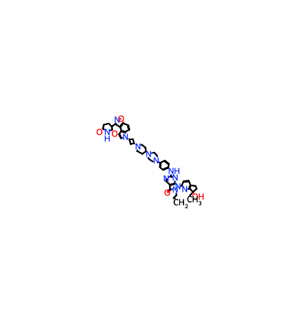 C=CCn1c(=O)c2cnc(Nc3ccc(N4CCN(C5CCN([C@H]6C[C@@H](n7ccc8c9c(C%10CCC(=O)NC%10=O)noc9ccc87)C6)CC5)CC4)cc3)nc2n1-c1ccc2c(n1)[C@@](O)(CC)CC2